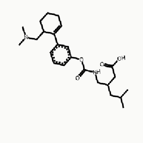 CC(C)CC(CNC(=O)Oc1cccc(C2=CCCCC2CN(C)C)c1)CC(=O)O